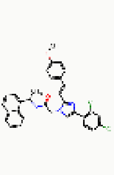 COc1ccc(/C=C/c2nc(-c3ccc(Cl)cc3Cl)cn2CC(=O)NC(C)c2cccc3ccccc23)cc1